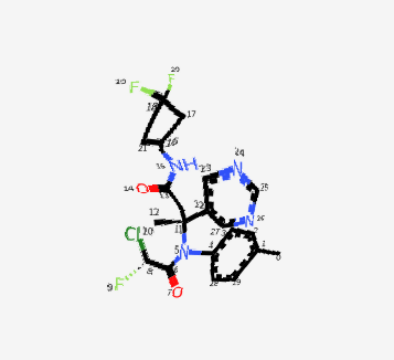 Cc1ccc(N(C(=O)[C@H](F)Cl)[C@](C)(C(=O)NC2CC(F)(F)C2)c2cncnc2)cc1